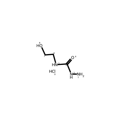 Cl.NNC(=O)NCCO